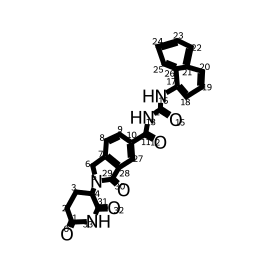 O=C1CCC(N2Cc3ccc(C(=O)NC(=O)Nc4cccc5ccccc45)cc3C2=O)C(=O)N1